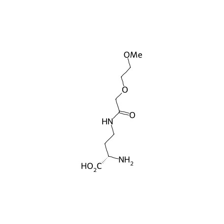 COCCOCC(=O)NCC[C@H](N)C(=O)O